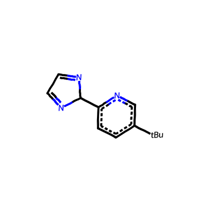 CC(C)(C)c1ccc(C2N=CC=N2)nc1